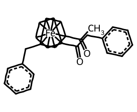 CC(=O)[C]12[CH]3[CH]4[C]5(Cc6ccccc6)[CH]1[Fe]43521678[CH]2[CH]1[CH]6[C]7(C(=O)Cc1ccccc1)[CH]28